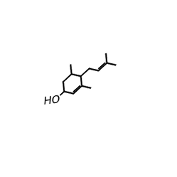 CC(C)=CCC1C(C)=CC(O)CC1C